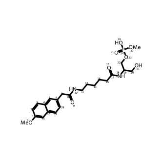 COc1ccc2cc(CC(=O)NCCCCCC(=O)NC(CO)COP(=O)(O)OC)ccc2c1